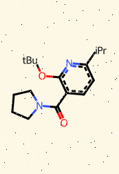 CC(C)c1ccc(C(=O)N2CCCC2)c(OC(C)(C)C)n1